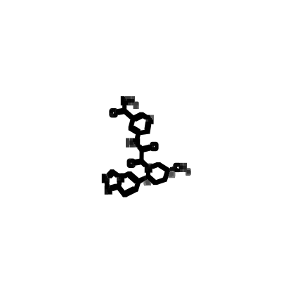 C[C@@H]1CC[C@@H](c2ccc3nncn3c2)N(C(=O)C(=O)Nc2cncc(C(N)=O)c2)C1